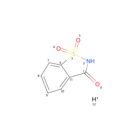 O=C1NS(=O)(=O)c2ccccc21.[H+]